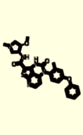 CO[C@H]1CN(C)C[C@@H]1NC(=O)c1sc2nccc3c2c1NC(=O)N3c1ccc(Oc2ccccc2)cc1C